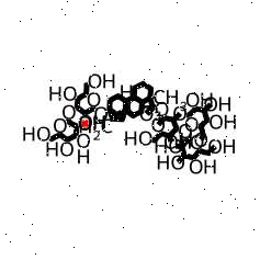 C=C1CC23CCC4[C@](C)(C(=O)OC5OC(CO)C(O)C(OC6OC(CO)C(O)C(O)C6O)C5OC5OC(CO)C(O)C(O)C5O)CCC[C@@]4(C)[C@@H]2CC[C@]1(OC1OC(CO)C(O)C(OC2OC(CO)C(O)C(O)C2O)C1O)C3